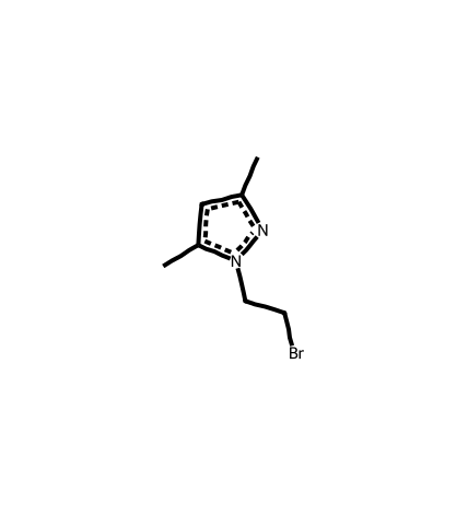 Cc1cc(C)n(CCBr)n1